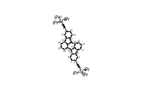 CC(C)[Si](C#Cc1ccc2c(c1)c1cccc3c1c2c1cccc2c4cc(C#C[Si](C(C)C)(C(C)C)C(C)C)ccc4c3c21)(C(C)C)C(C)C